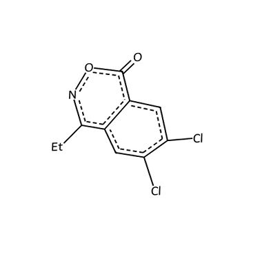 CCc1noc(=O)c2cc(Cl)c(Cl)cc12